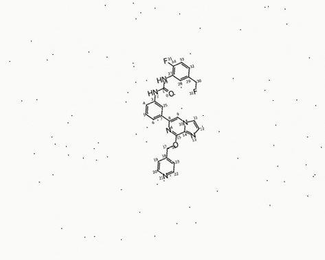 O=C(Nc1cccc(-c2cn3ccnc3c(OCc3ccncc3)n2)c1)Nc1cc(CF)ccc1F